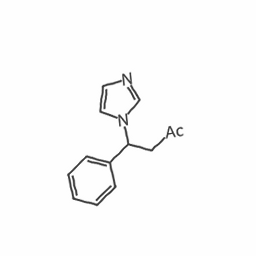 CC(=O)CC(c1ccccc1)n1ccnc1